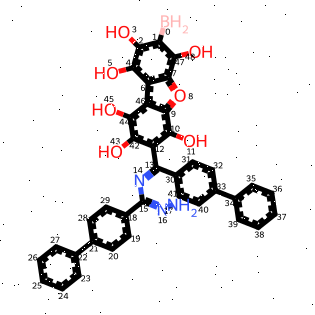 Bc1c(O)c(O)c2c(oc3c(O)c(/C(=N/C(=N\N)c4ccc(-c5ccccc5)cc4)c4ccc(-c5ccccc5)cc4)c(O)c(O)c32)c1O